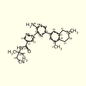 Cc1cc(-c2cnc(N)c(-n3cc(C(=O)NC(C)(C)CC#N)cn3)n2)cc2c1CCN(C)C2